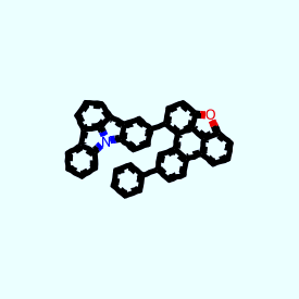 c1ccc(-c2ccc3c(c2)c2c(-c4ccc5c(c4)c4cccc6c7ccccc7n5c64)ccc4oc5cccc3c5c42)cc1